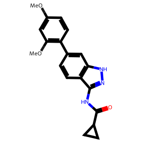 COc1ccc(-c2ccc3c(NC(=O)C4CC4)n[nH]c3c2)c(OC)c1